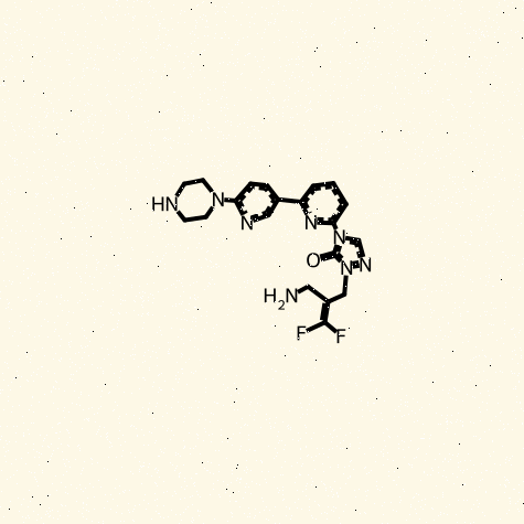 NCC(Cn1ncn(-c2cccc(-c3ccc(N4CCNCC4)nc3)n2)c1=O)=C(F)F